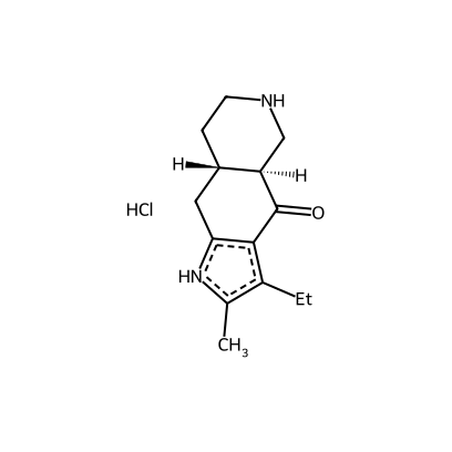 CCc1c(C)[nH]c2c1C(=O)[C@@H]1CNCC[C@H]1C2.Cl